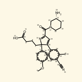 COc1ccc(C2(CCCC(=O)O)N=C(C(=O)N3CCC[C@@H](N)C3)C=C2c2ccc(C#N)c(F)c2)cc1